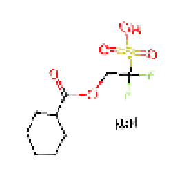 O=C(OCC(F)(F)S(=O)(=O)O)C1CCCCC1.[NaH]